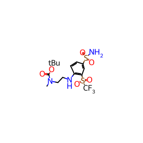 CN(CCNc1ccc(S(N)(=O)=O)cc1S(=O)(=O)C(F)(F)F)C(=O)OC(C)(C)C